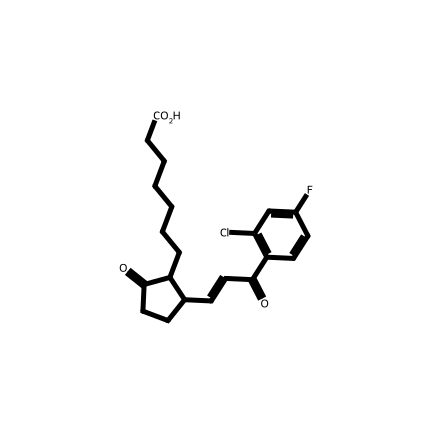 O=C(O)CCCCCCC1C(=O)CCC1C=CC(=O)c1ccc(F)cc1Cl